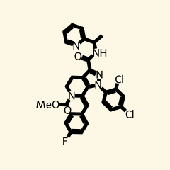 COC(=O)N1CCc2c(C(=O)NC(C)c3ccccn3)nn(-c3ccc(Cl)cc3Cl)c2C1=Cc1ccc(F)cc1